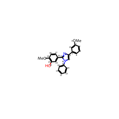 COc1cccc(-c2cn(-c3ccccc3)c(-c3ccc(OC)c(O)c3)n2)c1